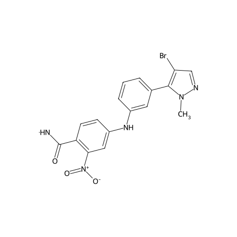 Cn1ncc(Br)c1-c1cccc(Nc2ccc(C([NH])=O)c([N+](=O)[O-])c2)c1